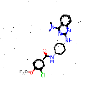 CN(C)c1nc(N[C@H]2CC[C@@H](NC(=O)c3ccc(OC(F)(F)F)c(Cl)c3)CC2)nc2ccccc12